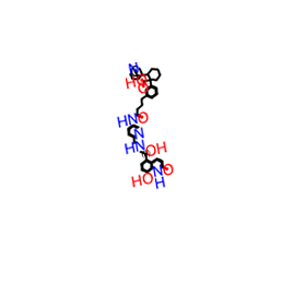 O=C(CCCc1cccc(C2(C(=O)O)CCCCC2C2CN3CCC2CC3)c1)Nc1ccc(CNC[C@H](O)c2ccc(O)c3[nH]c(=O)ccc23)nc1